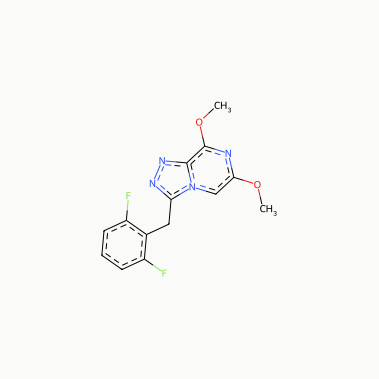 COc1cn2c(Cc3c(F)cccc3F)nnc2c(OC)n1